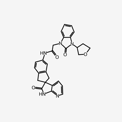 O=C(Cn1c(=O)n(C2CCOC2)c2ccccc21)Nc1ccc2c(c1)CC1(C2)C(=O)Nc2ncccc21